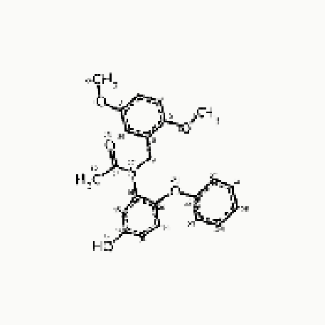 COc1ccc(OC)c(CN(C(C)=O)c2cc(O)ccc2Oc2ccccc2)c1